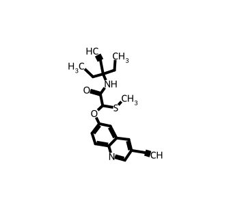 C#Cc1cnc2ccc(OC(SC)C(=O)NC(C#C)(CC)CC)cc2c1